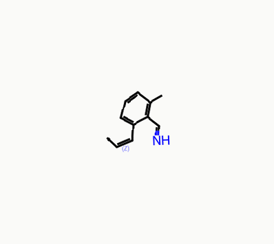 C/C=C\c1cccc(C)c1C=N